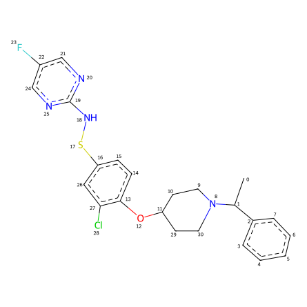 CC(c1ccccc1)N1CCC(Oc2ccc(SNc3ncc(F)cn3)cc2Cl)CC1